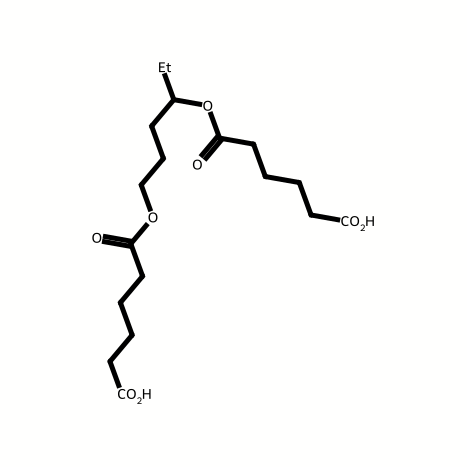 CCC(CCCOC(=O)CCCCC(=O)O)OC(=O)CCCCC(=O)O